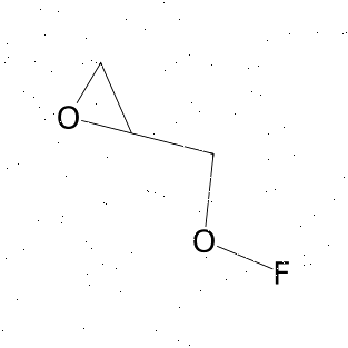 FOCC1CO1